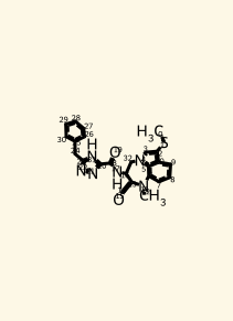 CSc1cn2c3c(cccc13)N(C)C(=C=O)C(NC(=O)c1nnc(Cc3ccccc3)[nH]1)C2